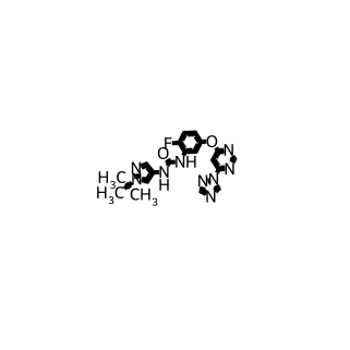 CC(C)(C)n1cc(NC(=O)Nc2cc(Oc3cc(-n4cncn4)ncn3)ccc2F)cn1